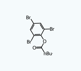 CCC[CH]C(=O)Oc1c(Br)cc(Br)cc1Br